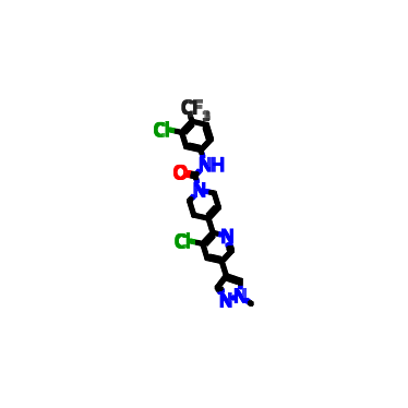 Cn1cc(-c2cnc(C3=CCN(C(=O)Nc4ccc(C(F)(F)F)c(Cl)c4)CC3)c(Cl)c2)cn1